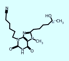 C[C@@H](O)CCCCc1nc2c(c(=O)[nH]c(=O)n2CCCCCC#N)n1C